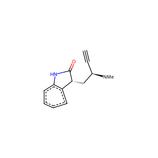 C#C[C@H](C[C@H]1C(=O)Nc2ccccc21)NC